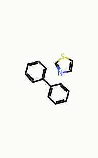 c1ccc(-c2ccccc2)cc1.c1cscn1